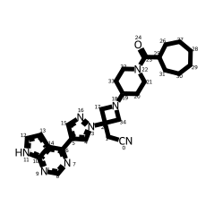 N#CCC1(n2cc(-c3ncnc4[nH]ccc34)cn2)CN(C2CCN(C(=O)C3CCCCCC3)CC2)C1